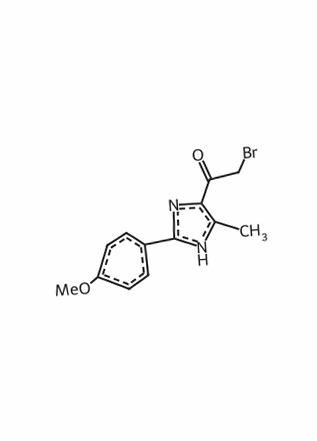 COc1ccc(-c2nc(C(=O)CBr)c(C)[nH]2)cc1